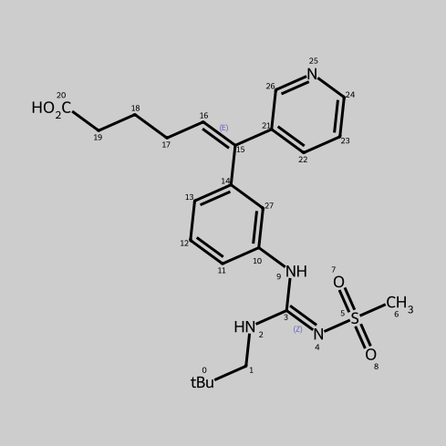 CC(C)(C)CN/C(=N/S(C)(=O)=O)Nc1cccc(/C(=C\CCCC(=O)O)c2cccnc2)c1